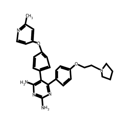 Cc1cc(Oc2ccc(-c3c(N)nc(N)nc3-c3ccc(OCCN4CCCC4)cc3)cc2)ccn1